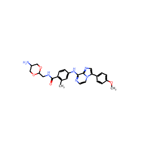 COc1ccc(-c2cnc3c(Nc4ccc(C(=O)NCC5OCC(N)CO5)c(C)c4)nccn23)cc1